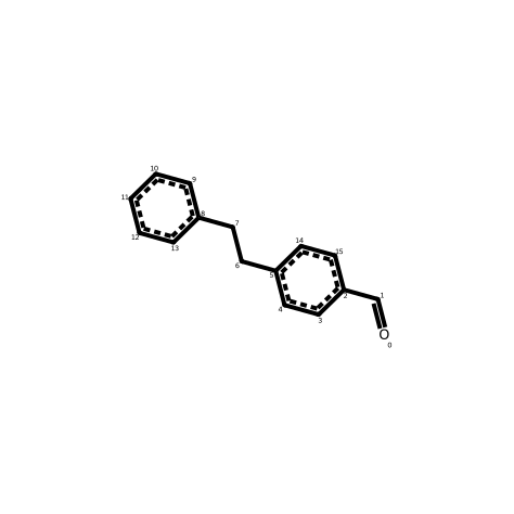 O=Cc1ccc(CCc2ccccc2)cc1